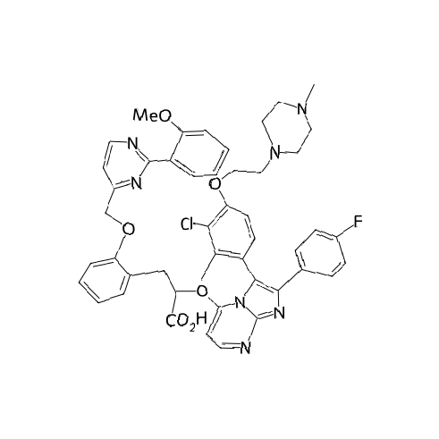 COc1ccccc1-c1nccc(COc2ccccc2CC(Oc2ccnc3nc(-c4ccc(F)cc4)c(-c4ccc(OCCN5CCN(C)CC5)c(Cl)c4C)n23)C(=O)O)n1